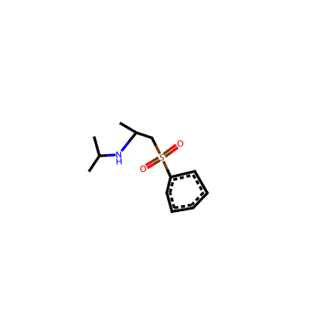 CC(C)NC(C)CS(=O)(=O)c1ccccc1